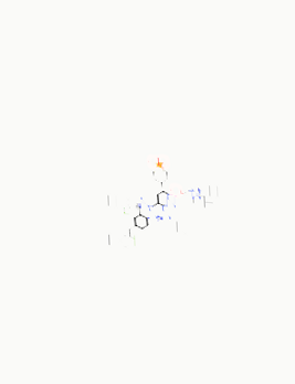 Cc1nc(N[C@H](C)c2cccc(CC(C)F)c2F)c2cc(C3CCS(=O)(=O)CC3)c(OCCN(C)C)nc2n1